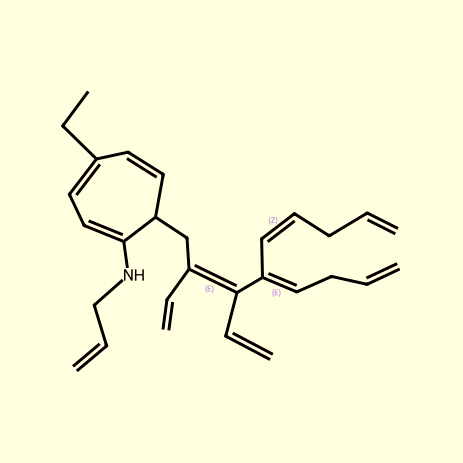 C=CC\C=C/C(=C\CC=C)C(/C=C)=C(/C=C)CC1C=CC(CC)=CC=C1NCC=C